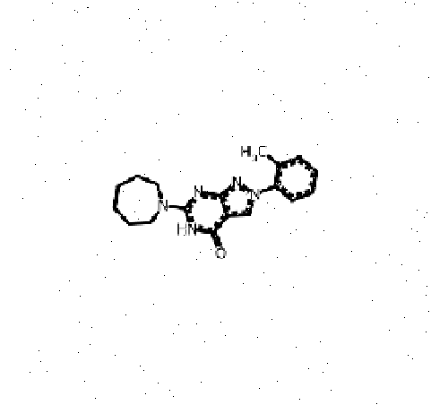 Cc1ccccc1-n1cc2c(=O)[nH]c(N3CCCCCC3)nc2n1